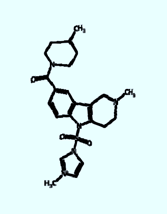 CC1CCN(C(=O)c2ccc3c(c2)c2c(n3S(=O)(=O)n3cc[n+](C)c3)CCN(C)C2)CC1